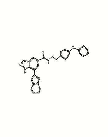 O=C(NCCc1ccc(Oc2ccccc2)cc1)c1cc(-c2cc3ccccc3s2)c2[nH]ncc2c1